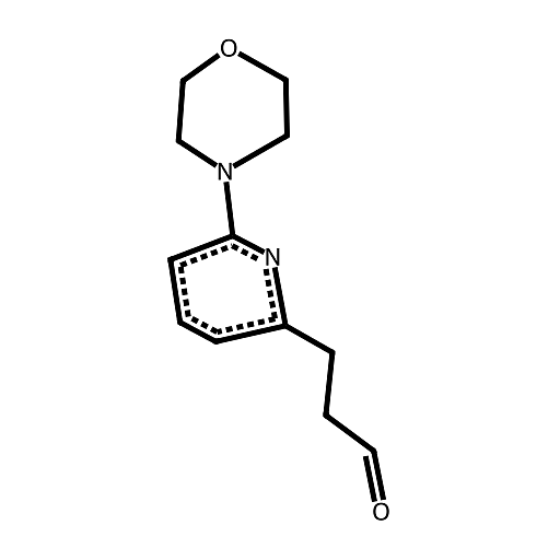 O=CCCc1cccc(N2CCOCC2)n1